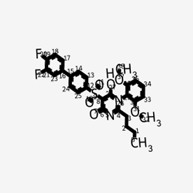 CCCCc1nc(=O)c(S(=O)(=O)c2ccc(-c3ccc(F)c(F)c3)cc2)c(O)n1-c1c(OC)cccc1OC